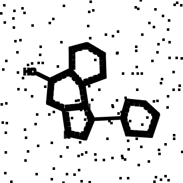 Oc1cc2ncc(-c3ccccc3)n2c2ccccc12